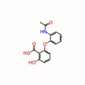 CC(=O)Nc1ccccc1Oc1cccc(O)c1C(=O)O